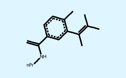 C=C(NCCC)c1ccc(C)c(C(C)=C(C)C)c1